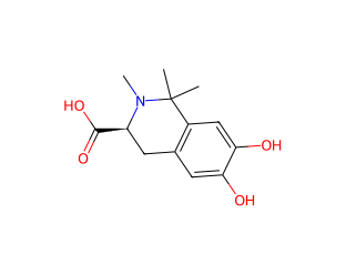 CN1[C@H](C(=O)O)Cc2cc(O)c(O)cc2C1(C)C